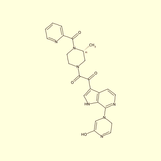 C[C@@H]1CN(C(=O)C(=O)c2c[nH]c3c(N4C=C(O)N=CC4)nccc23)CCN1C(=O)c1ccccn1